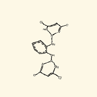 ClC1=CC(Cl)=NN(Nc2ccccc2NN2N=C(Cl)C=C(Cl)N2)N1